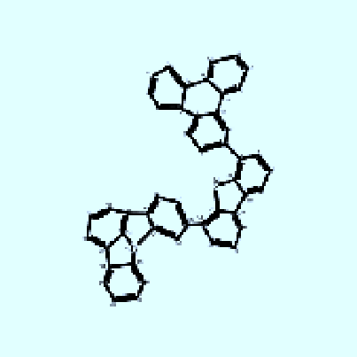 c1cc(-c2ccc3c4ccccc4c4ccccc4c3c2)c2sc3c(-c4ccc5c6cccc7c8ccccc8n(c5c4)c76)cccc3c2c1